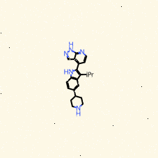 CC(C)c1c(-c2ccnc3[nH]ncc23)[nH]c2ccc(C3CCNCC3)cc12